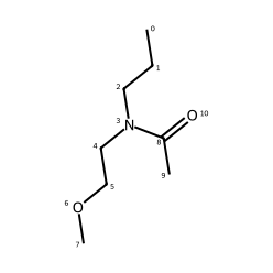 CCCN(CCOC)C(C)=O